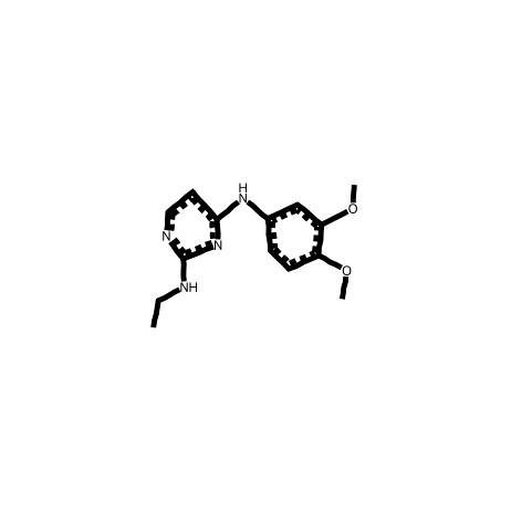 CCNc1nccc(Nc2ccc(OC)c(OC)c2)n1